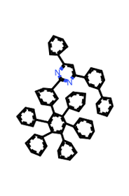 c1ccc(-c2cccc(-c3cc(-c4ccccc4)nc(-c4cccc(-c5c(-c6ccccc6)c(-c6ccccc6)c(-c6ccccc6)c(-c6ccccc6)c5-c5ccccc5)c4)n3)c2)cc1